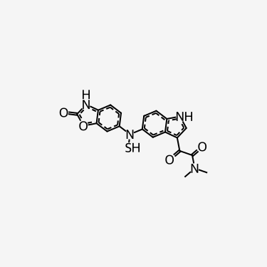 CN(C)C(=O)C(=O)c1c[nH]c2ccc(N(S)c3ccc4[nH]c(=O)oc4c3)cc12